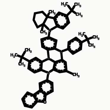 Cc1cc2c3c(c1)N(c1ccc(C(C)(C)C)cc1)c1cc(N4c5ccc(C(C)(C)C)cc5C5(C)CCCCC45C)ccc1B3c1cc(C(C)(C)C)ccc1N2c1ccc2oc3ccccc3c2c1